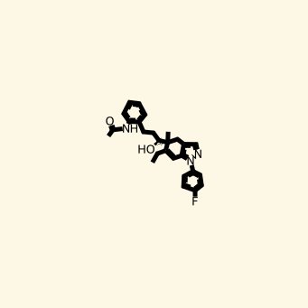 CCC1=Cc2c(cnn2-c2ccc(F)cc2)CC1(C)[C@@H](O)CCc1ccccc1NC(C)=O